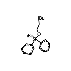 CCC(C)CCO[Si](c1ccccc1)(c1ccccc1)C(C)CC